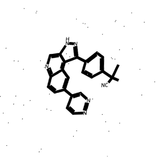 CC(C)(C#N)c1ccc(-c2n[nH]c3cnc4ccc(-c5ccnnc5)cc4c23)cc1